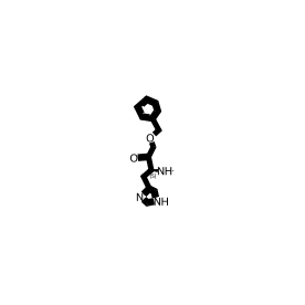 [NH][C@@H](Cc1c[nH]cn1)C(=O)COCc1ccccc1